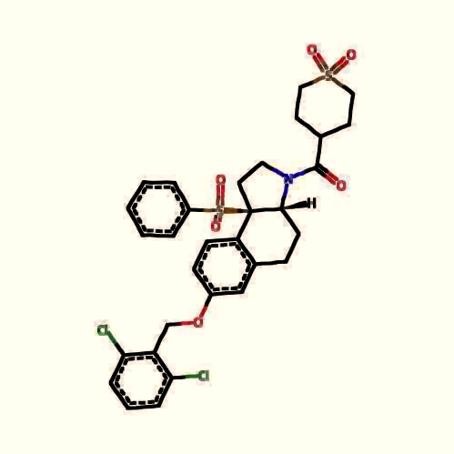 O=C(C1CCS(=O)(=O)CC1)N1CC[C@@]2(S(=O)(=O)c3ccccc3)c3ccc(OCc4c(Cl)cccc4Cl)cc3CC[C@@H]12